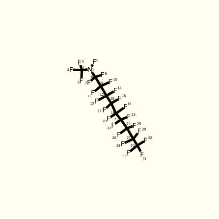 FN(C(F)(F)F)C(F)(F)C(F)(F)C(F)(F)C(F)(F)C(F)(F)C(F)(F)C(F)(F)C(F)(F)C(F)(F)F